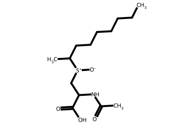 CCCCCCCC(C)[S+]([O-])CC(NC(C)=O)C(=O)O